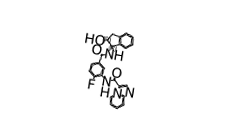 O=C(N[C@@H]1c2ccccc2C[C@H]1O)c1ccc(F)c(NC(=O)c2cnc3ccccn23)c1